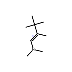 C/C(=C\N(C)C)C(C)(C)C